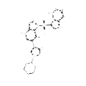 O=S(=O)(c1cnc2cccnn12)n1ncc2ncc(-c3cnn(C4CCNCC4)c3)cc21